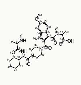 CNC(C)C(=O)NC(C(=O)N1CCN(C(=O)c2c(C(=O)N(C)C(C)C(=O)O)c3ccc(OC)cc3n2C)CC1)C1CCCCC1